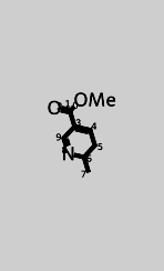 COC(=O)C1=CCC(C)N=C1